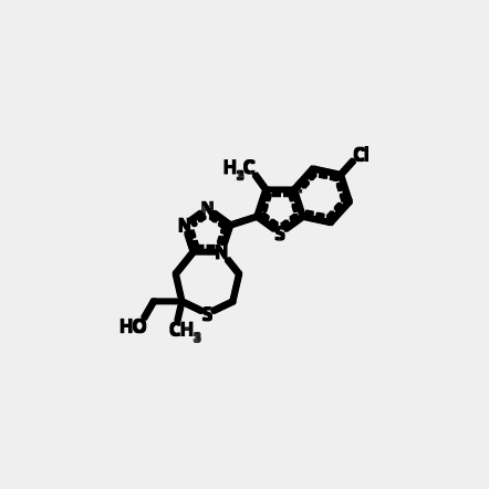 Cc1c(-c2nnc3n2CCSC(C)(CO)C3)sc2ccc(Cl)cc12